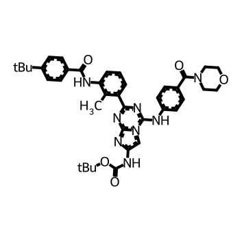 Cc1c(NC(=O)c2ccc(C(C)(C)C)cc2)cccc1-c1nc(Nc2ccc(C(=O)N3CCOCC3)cc2)n2cc(NC(=O)OC(C)(C)C)nc2n1